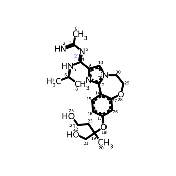 CC(=N)/N=C(\NC(C)C)c1cn2c(n1)-c1ccc(OC(C)(CO)CCO)cc1OCC2